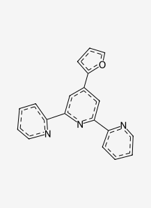 c1ccc(-c2cc(-c3ccco3)cc(-c3ccccn3)n2)nc1